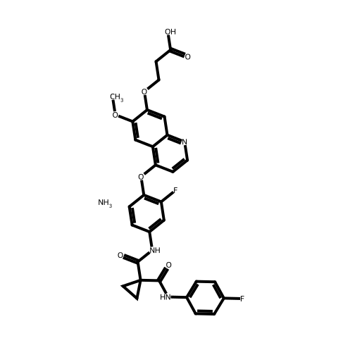 COc1cc2c(Oc3ccc(NC(=O)C4(C(=O)Nc5ccc(F)cc5)CC4)cc3F)ccnc2cc1OCCC(=O)O.N